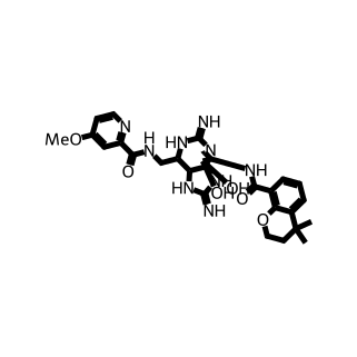 COc1ccnc(C(=O)NCC2NC(=N)N3CC(NC(=O)c4cccc5c4OCCC5(C)C)C(O)(O)[C@]34NC(=N)NC24)c1